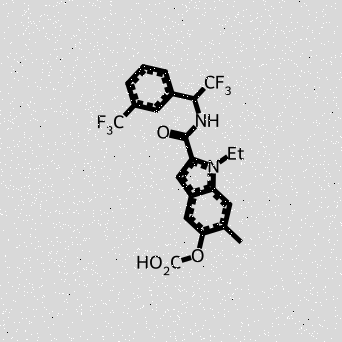 CCn1c(C(=O)NC(c2cccc(C(F)(F)F)c2)C(F)(F)F)cc2cc(OC(=O)O)c(C)cc21